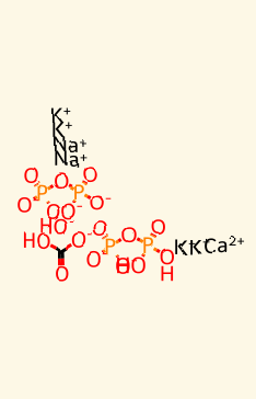 O=C([O-])O.O=P([O-])([O-])OP(=O)(O)O.O=P([O-])([O-])OP(=O)([O-])[O-].[Ca+2].[K+].[K+].[K+].[K+].[Na+].[Na+].[OH-]